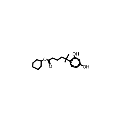 CC(C)(CCCC(=O)OC1CCCCC1)c1ccc(O)cc1O